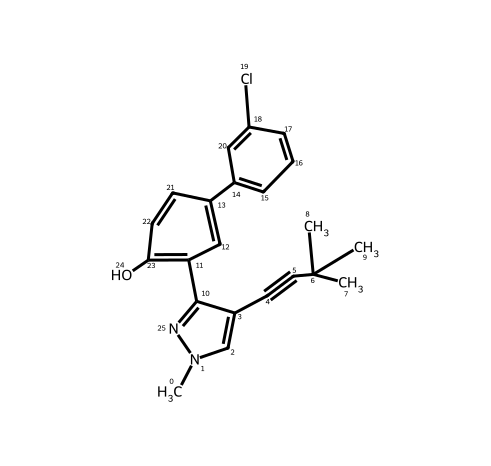 Cn1cc(C#CC(C)(C)C)c(-c2cc(-c3cccc(Cl)c3)ccc2O)n1